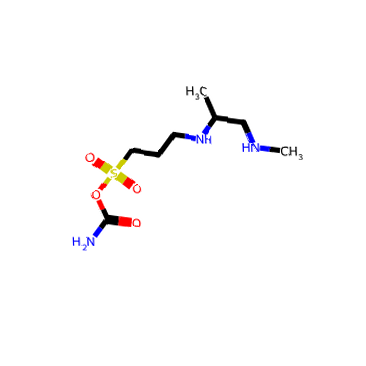 CNCC(C)NCCCS(=O)(=O)OC(N)=O